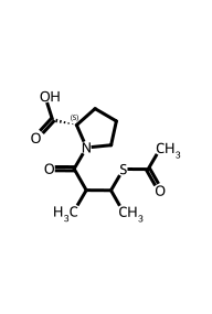 CC(=O)SC(C)C(C)C(=O)N1CCC[C@H]1C(=O)O